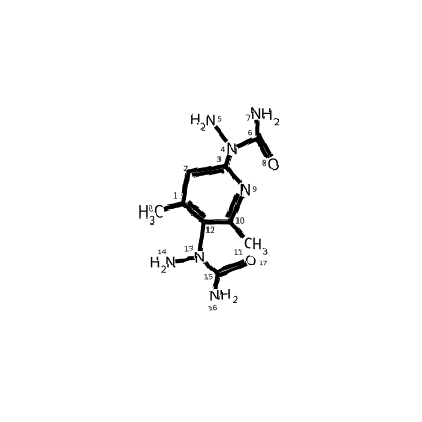 Cc1cc(N(N)C(N)=O)nc(C)c1N(N)C(N)=O